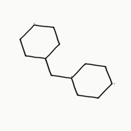 [CH]1CC[C](C[C]2CC[CH]CC2)CC1